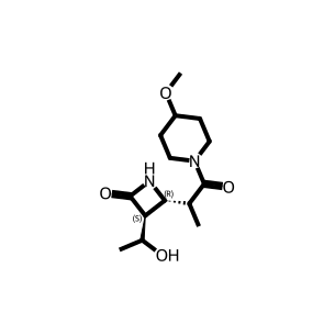 COC1CCN(C(=O)C(C)[C@H]2NC(=O)[C@@H]2C(C)O)CC1